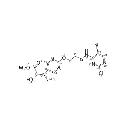 COC(=O)C(C)n1ccc2cc(OCCCNc3nc(Cl)ncc3F)ccc21